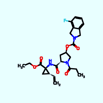 C=C[C@@H]1C[C@]1(NC(=O)[C@@H]1C[C@@H](OC(=O)N2Cc3cccc(F)c3C2)CN1C(=O)CC)C(=O)OCC